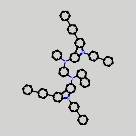 c1ccc(-c2ccc(-c3ccc4c(c3)c3cc(N(c5ccccc5)c5cccc(N(c6ccc7c(c6)c6cc(-c8ccc(-c9ccccc9)cc8)ccc6n7-c6ccc(-c7ccccc7)cc6)c6cccc7ccccc67)c5)ccc3n4-c3ccc(-c4ccccc4)cc3)cc2)cc1